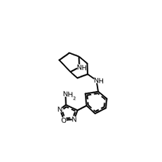 Nc1nonc1-c1cccc(NC2CC3CCC(C2)N3)c1